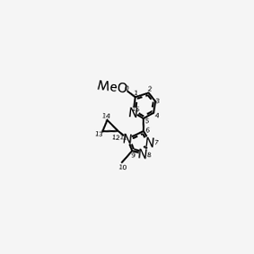 COc1cccc(-c2nnc(C)n2C2CC2)n1